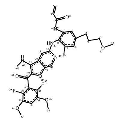 C=CC(=O)Nc1cc(CCCOC)cc(C)c1Nc1cc2c(NC)c(C(=O)c3c(F)c(OC)cc(OC)c3F)oc2cn1